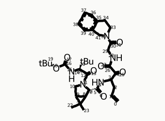 C=CCC(NC(=O)[C@@H]1C2C(CN1C(=O)[C@@H](NC(=O)OC(C)(C)C)C(C)(C)C)C2(C)C)C(=O)C(=O)NCC(=O)N1CCc2ccccc2C1